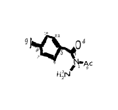 CC(=O)N(N)C(=O)c1ccc(I)cc1